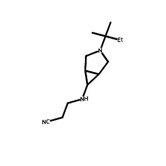 CCC(C)(C)N1CC2C(C1)C2NCCC#N